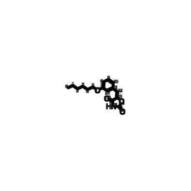 CCCCCCOc1cccc(/C=C2/OC(=O)NC2=O)c1